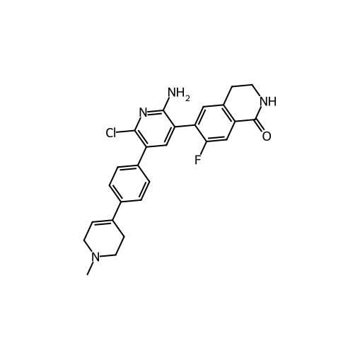 CN1CC=C(c2ccc(-c3cc(-c4cc5c(cc4F)C(=O)NCC5)c(N)nc3Cl)cc2)CC1